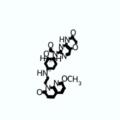 COc1ccc2ccc(=O)n(CCN[C@@H]3CC[C@@H]4[C@@H](C3)OC(=O)N4c3ncc4c(n3)NC(=O)CO4)c2n1